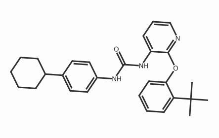 CC(C)(C)c1ccccc1Oc1ncccc1NC(=O)Nc1ccc(C2CCCCC2)cc1